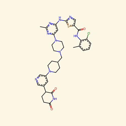 Cc1nc(Nc2ncc(C(=O)Nc3c(C)cccc3Cl)s2)cc(N2CCN(CC3CCN(c4cncc(C5CCC(=O)NC5=O)c4)CC3)CC2)n1